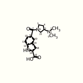 CN(C)C1CCN(C(=O)c2ccc3[nH]c(C(=O)O)cc3c2)C1